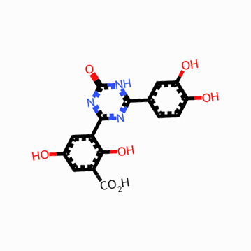 O=C(O)c1cc(O)cc(-c2nc(-c3ccc(O)c(O)c3)[nH]c(=O)n2)c1O